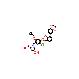 O=C(O)[C@@H]1CC(O)CN1Cc1cc(Cl)c(OCc2cccc(-c3ccc4c(c3)OCCO4)c2Br)cc1OCC1CC1